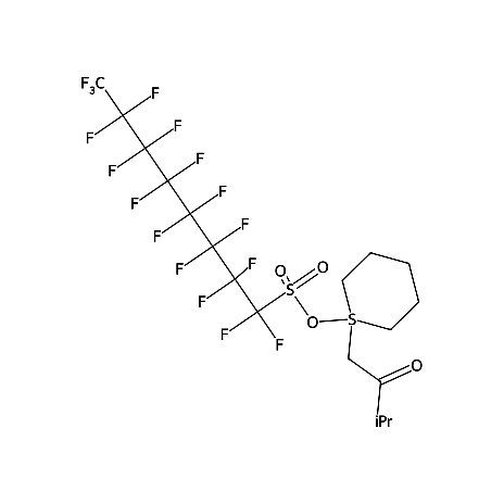 CC(C)C(=O)CS1(OS(=O)(=O)C(F)(F)C(F)(F)C(F)(F)C(F)(F)C(F)(F)C(F)(F)C(F)(F)C(F)(F)F)CCCCC1